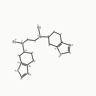 CCN(CCN(CC)C1CCc2ncsc2C1)C1CCc2ncsc2C1